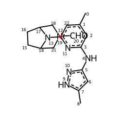 Cc1cc(Nc2cc(C)[nH]n2)nc(N2C3CCC2CN(C=O)C3)c1